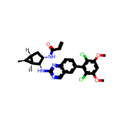 C=CC(=O)N[C@H]1C[C@@H]2[C@H](C)[C@@H]2[C@H]1Nc1ncc2cc(-c3c(Cl)c(OC)cc(OC)c3Cl)ccc2n1